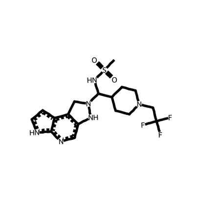 CS(=O)(=O)NC(C1CCN(CC(F)(F)F)CC1)N1Cc2c(cnc3[nH]ccc23)N1